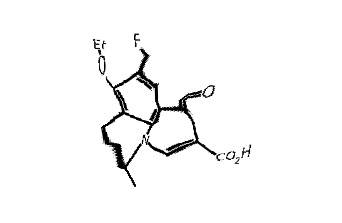 CCOc1c(F)cc2c(=O)c(C(=O)O)cn3c2c1CCC3C